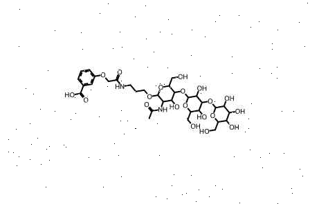 CC(=O)NC1C(OCCCNC(=O)COc2cccc(C(=O)O)c2)OC(CO)C(OC2OC(CO)C(O)C(OC3OC(CO)C(O)C(O)C3O)C2O)C1O